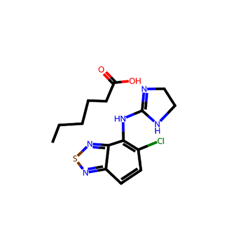 CCCCCC(=O)O.Clc1ccc2nsnc2c1NC1=NCCN1